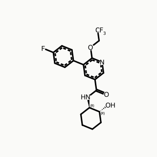 O=C(N[C@@H]1CCCC[C@H]1O)c1cnc(OCC(F)(F)F)c(-c2ccc(F)cc2)c1